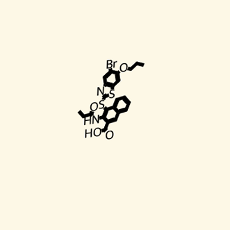 CCCOc1cc2sc(Sc3c(NC(=O)CC)c(C(=O)O)cc4ccccc34)nc2cc1Br